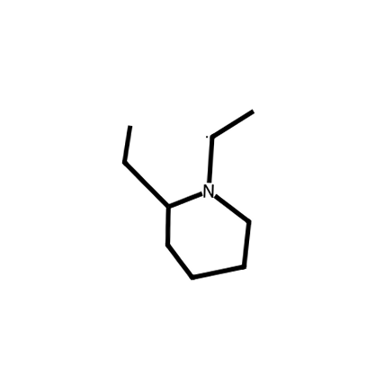 C[CH]N1CCCCC1CC